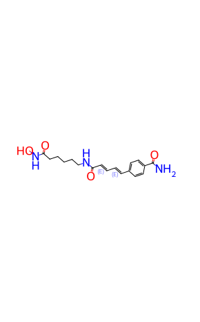 NC(=O)c1ccc(/C=C/C=C/C(=O)NCCCCCC(=O)NO)cc1